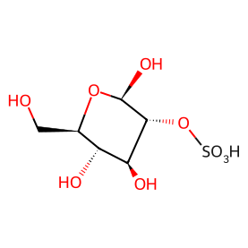 O=S(=O)(O)O[C@@H]1[C@@H](O)[C@H](O)[C@@H](CO)O[C@H]1O